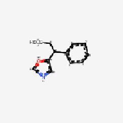 O=C(O)CC(c1ccccc1)c1cnco1